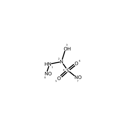 O=NNN(O)S(=O)(=O)N=O